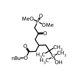 CCCCOC(=O)CC(CC(=O)CP(=O)(OC)OC)CC(C)(C)[Si](C)(C)O